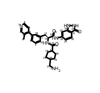 Cc1cnccc1-c1cccc(C[C@H](NC(=O)C2CCC(CN)CC2)C(=O)Nc2ccc3c(=O)[nH][nH]c3c2)c1